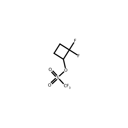 O=S(=O)(OC1CCC1(F)F)C(F)(F)F